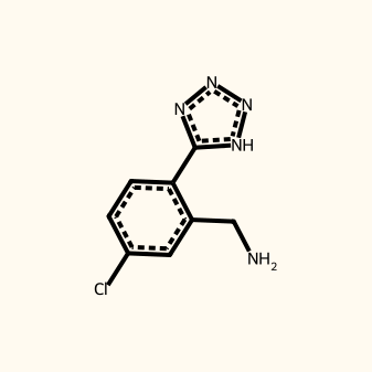 NCc1cc(Cl)ccc1-c1nnn[nH]1